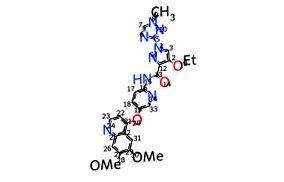 CCOc1cn(-c2ncn(C)n2)nc1C(=O)Nc1ccc(Oc2ccnc3cc(OC)c(OC)cc23)cn1